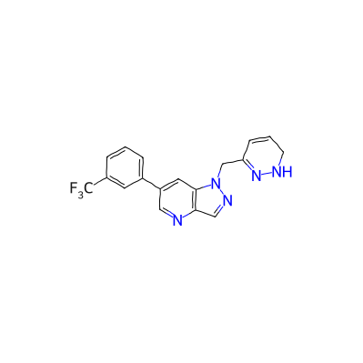 FC(F)(F)c1cccc(-c2cnc3cnn(CC4=NNCC=C4)c3c2)c1